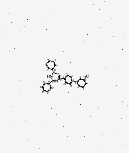 Clc1cccc(-c2ccc(C3=NC(c4ccccc4)NC(c4ccccc4)=N3)cc2)c1